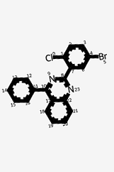 Clc1ccc(Br)cc1-c1nc(-c2ccccc2)c2ccccc2n1